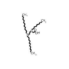 CCCCCCCCCCCCN(CCCCCCCCCCCC)CCN(CCCCCCCCC)CC(=O)O